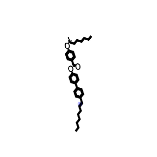 CCCCCC/C=C/c1ccc(-c2ccc(OC(=O)c3ccc(O[C@@H](C)CCCCCC)cc3)cc2)cc1